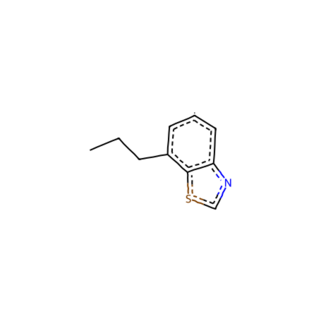 CCCc1c[c]cc2ncsc12